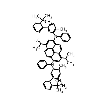 Cc1ccc(-c2ccccc2C(C)(C)C)cc1N(c1ccccc1)c1cc(C(C)C)c2ccc3c(N(c4ccccc4)c4cc(-c5ccccc5C(C)(C)C)ccc4C)cc(C(C)C)c4ccc1c2c43